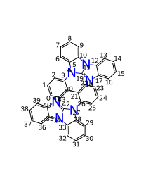 c1ccc(-n2c3ccccc3n3c4ccccc4nc23)c(-c2ccccc2-n2c3ccccc3n3c4ccccc4nc23)c1